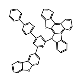 c1ccc(-c2ccc(-c3cc(-c4ccc5sc6ccccc6c5c4)nc(-n4c5ccccc5c5c6ccccc6c6c7ccccc7sc6c54)n3)cc2)cc1